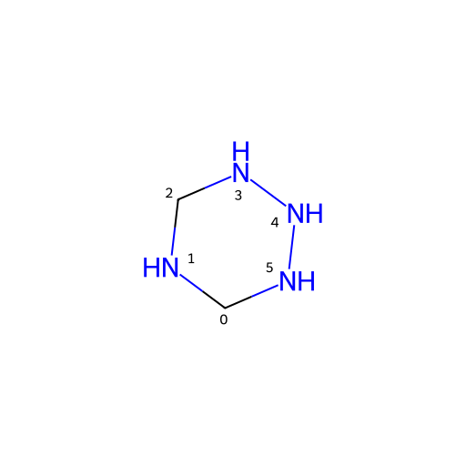 C1NCNNN1